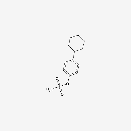 CS(=O)(=O)Oc1ccc(C2CCCCC2)cc1